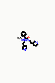 Cc1ccccc1C(NCCc1ccncc1)C(=O)NCCc1cccnc1